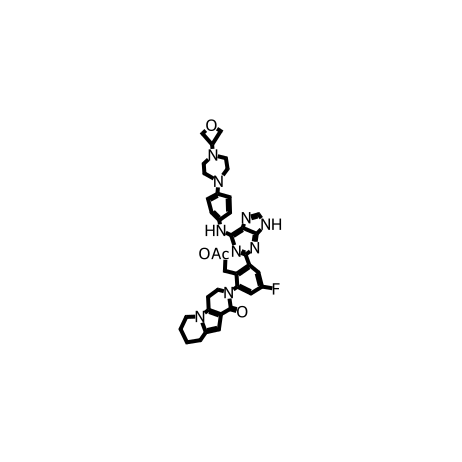 CC(=O)OCc1c(-c2nc(Nc3ccc(N4CCN(C5COC5)CC4)cc3)c3nc[nH]c3n2)cc(F)cc1N1CCc2c(cc3n2CCCC3)C1=O